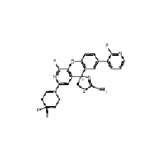 NC1=N[C@@]2(CS1)c1cc(-c3cccnc3F)ccc1Oc1c2cc(N2CCC(F)(F)CC2)nc1F